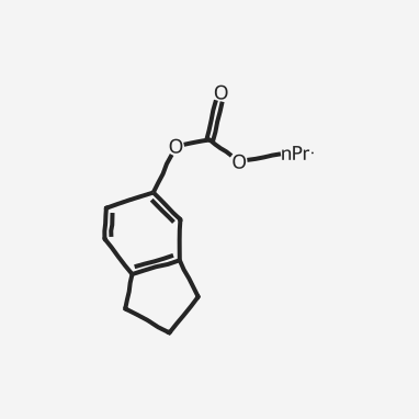 CC[CH]OC(=O)Oc1ccc2c(c1)CCC2